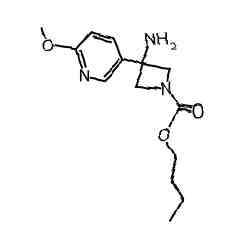 CCCCOC(=O)N1CC(N)(c2ccc(OC)nc2)C1